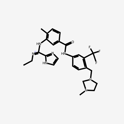 CC/N=C(/Nc1cc(C(=O)Nc2ccc(CN3CCN(C)C3)c(C(F)(F)F)c2)ccc1C)c1ncc[nH]1